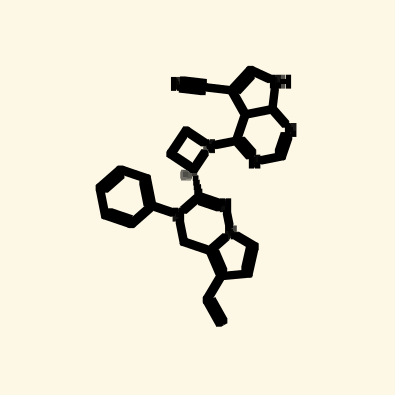 C=Cc1ccn2c1CN(c1ccccc1)C([C@@H]1CCN1C1=NC=NC3NC=C(C#N)C13)=N2